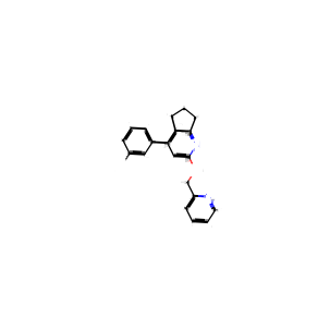 FC(F)(F)c1cccc(-c2cc(OCc3ccccn3)nc3c2CCC3)c1